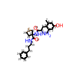 Cc1cc(O)cc(C)c1C[C@H](N)C(=O)NC1(C(=O)NCCCc2ccccc2)CCSC1